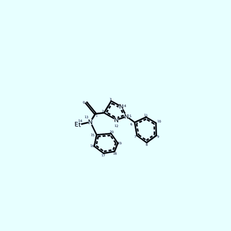 C=C(c1cnn(-c2ccccc2)n1)N(CC)c1ccccc1